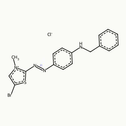 C[n+]1cc(Br)sc1/N=N/c1ccc(NCc2ccccc2)cc1.[Cl-]